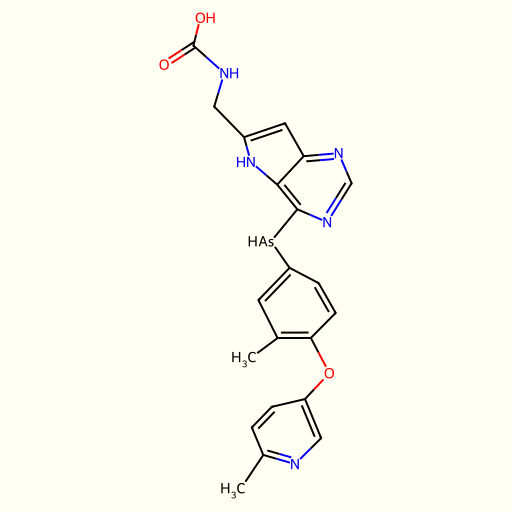 Cc1ccc(Oc2ccc([AsH]c3ncnc4cc(CNC(=O)O)[nH]c34)cc2C)cn1